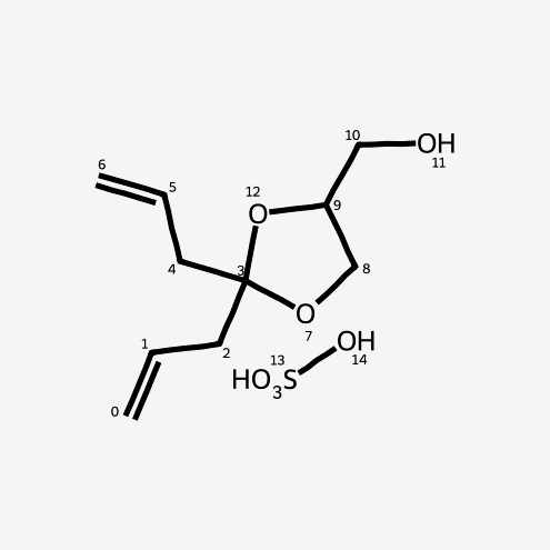 C=CCC1(CC=C)OCC(CO)O1.O=S(=O)(O)O